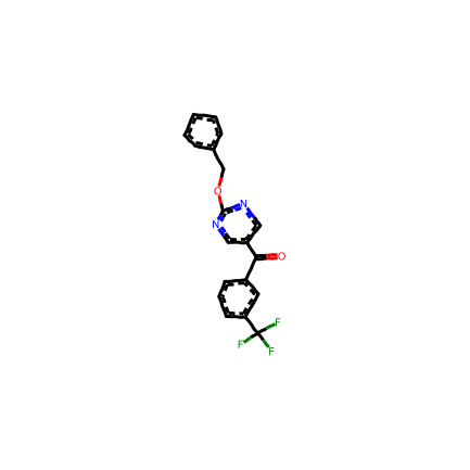 O=C(c1cnc(OCc2ccccc2)nc1)c1cccc(C(F)(F)F)c1